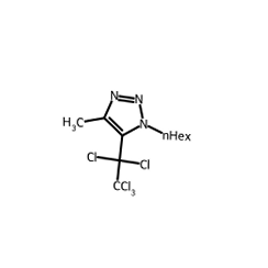 CCCCCCn1nnc(C)c1C(Cl)(Cl)C(Cl)(Cl)Cl